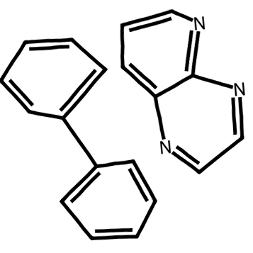 c1ccc(-c2ccccc2)cc1.c1cnc2nccnc2c1